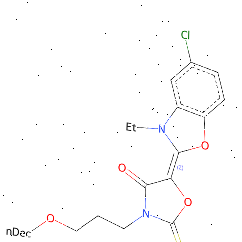 CCCCCCCCCCOCCCN1C(=O)/C(=C2/Oc3ccc(Cl)cc3N2CC)OC1=S